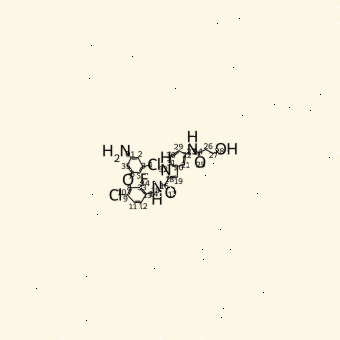 Nc1cc(Cl)cc(Oc2c(Cl)ccc(CNC(=O)c3cc4cc(NC(=O)CCO)ccc4[nH]3)c2F)c1